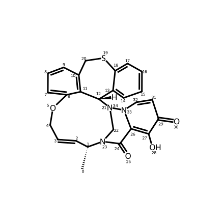 C[C@@H]1/C=C/COc2cccc3c2[C@H](c2ccccc2SC3)N2CN1C(=O)c1c(O)c(=O)ccn12